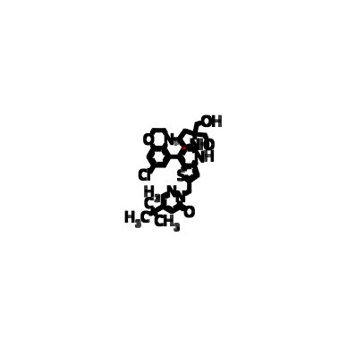 CC(C)(C)c1cnn(Cc2cc3nccc(-c4cc(Cl)cc5c4N([C@@H]4CNC(CO)(CO)C4)CCO5)c3s2)c(=O)c1